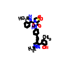 Cc1ccc(O)c(-c2nn(C)cc2C#Cc2ccc(NC(=O)[C@H]3CS(=O)(=O)CCN3C(=O)C(NC(=O)O)c3ccccc3)cc2)c1